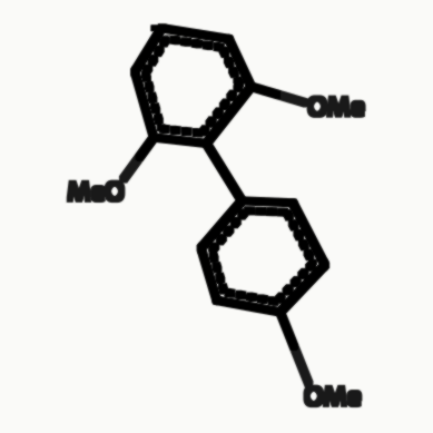 COc1ccc(-c2c(OC)c[c]cc2OC)cc1